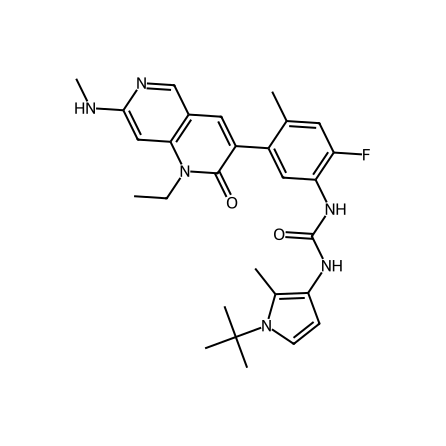 CCn1c(=O)c(-c2cc(NC(=O)Nc3ccn(C(C)(C)C)c3C)c(F)cc2C)cc2cnc(NC)cc21